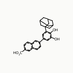 O=C(O)c1ccc2cc(-c3cc(O)c(O)c(C45CC6CC(CC(C6)C4)C5)c3)ccc2c1